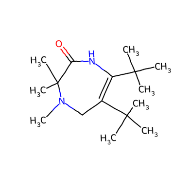 CN1CC(C(C)(C)C)=C(C(C)(C)C)NC(=O)C1(C)C